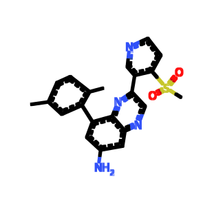 Cc1ccc(C)c(-c2cc(N)cc3ncc(-c4cnccc4S(C)(=O)=O)nc23)c1